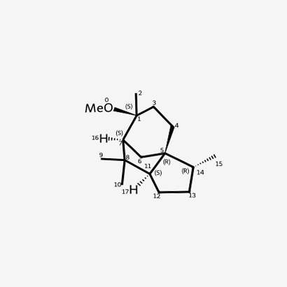 CO[C@@]1(C)CC[C@]23C[C@H]1C(C)(C)[C@@H]2CC[C@H]3C